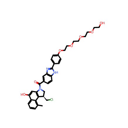 Cc1cccc2c(O)cc3c(c12)[C@H](CCl)CN3C(=O)c1ccc2[nH]c(-c3ccc(OCCOCCOCCOCCO)cc3)nc2c1